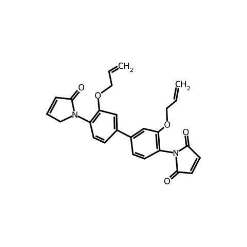 C=CCOc1cc(-c2ccc(N3C(=O)C=CC3=O)c(OCC=C)c2)ccc1N1CC=CC1=O